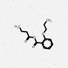 CCCOc1ccccc1C(=O)OC(=O)CCC